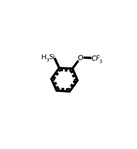 FC(F)(F)Oc1ccccc1[SiH3]